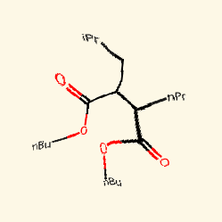 CCCCOC(=O)C(CCC)C(CC(C)C)C(=O)OCCCC